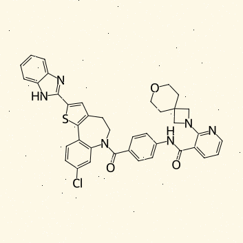 O=C(Nc1ccc(C(=O)N2CCc3cc(-c4nc5ccccc5[nH]4)sc3-c3ccc(Cl)cc32)cc1)c1cccnc1N1CC2(CCOCC2)C1